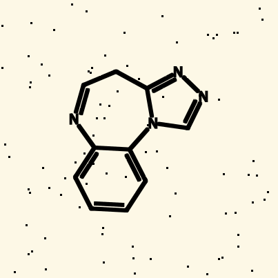 C1=Nc2ccccc2-n2cnnc2C1